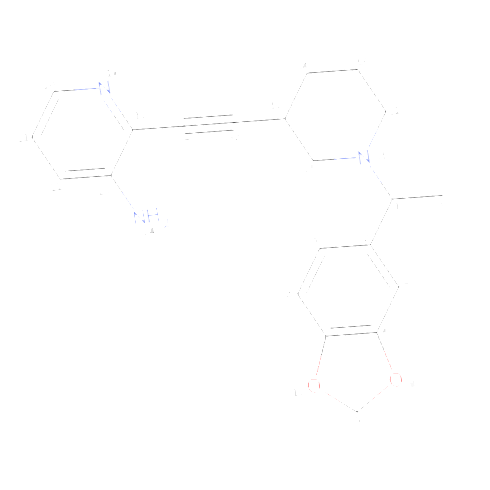 CC(c1ccc2c(c1)OCO2)N1CCCC(C#Cc2ncccc2N)C1